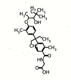 CCC(CC)(c1ccc(OC(C)C(O)C(C)(C)C)c(C)c1)c1ccc(C(=O)NCC(=O)O)c(C)c1